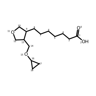 O=C(O)CCCCCCC1COCC1COC1CC1